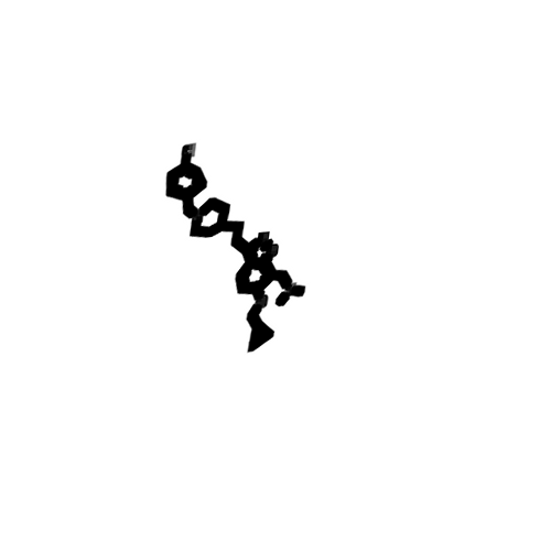 CN(C)Cc1c(OCC2CC2)ccc2c(CCC3CCN(Cc4ccc(Cl)cc4)CC3)noc12